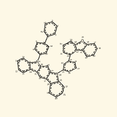 c1ccc(-c2ccc(-n3c4ccccc4c4cc5c6ccccc6n(-c6cccc(-c7cccc8oc9ccccc9c78)c6)c5cc43)cc2)cc1